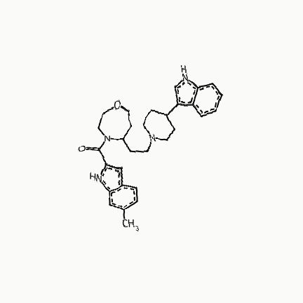 Cc1ccc2cc(C(=O)N3CCOCCC3CCN3CCC(c4c[nH]c5ccccc45)CC3)[nH]c2c1